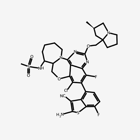 C[C@H]1CN2CCCC2(COc2nc3c4c(c(Cl)c(-c5ccc(F)c6sc(N)c(C#N)c56)c(F)c4n2)OCC2C(NS(C)(=O)=O)CCCCN32)C1